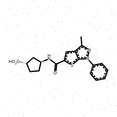 Cc1nn(-c2ccccc2)c2sc(C(=O)N[C@H]3CC[C@H](C(=O)O)C3)cc12